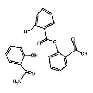 NC(=O)c1ccccc1O.O=C(Oc1ccccc1C(=O)O)c1ccccc1O